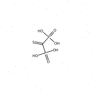 O=P(O)(O)C(=S)P(=O)(O)O